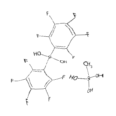 C[Si](O)(O)O.O[Si](O)(c1c(F)c(F)c(F)c(F)c1F)c1c(F)c(F)c(F)c(F)c1F